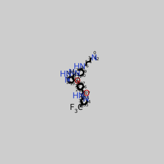 CN(C)CCCCN[C@@H]1CCCN(c2n[nH]c3nccc(Oc4ccc(C(=O)Nc5cc(C(F)(F)F)ccn5)cc4)c23)C1